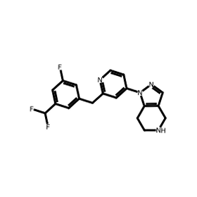 Fc1cc(Cc2cc(-n3ncc4c3CCNC4)ccn2)cc(C(F)F)c1